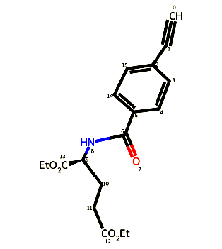 C#Cc1ccc(C(=O)N[C@@H](CCC(=O)OCC)C(=O)OCC)cc1